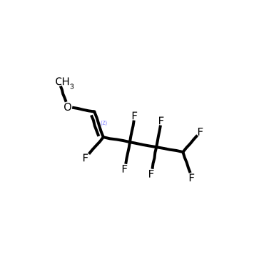 CO/C=C(\F)C(F)(F)C(F)(F)C(F)F